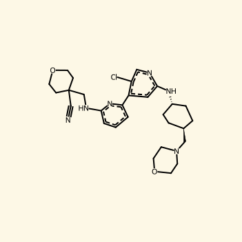 N#CC1(CNc2cccc(-c3cc(N[C@H]4CC[C@H](CN5CCOCC5)CC4)ncc3Cl)n2)CCOCC1